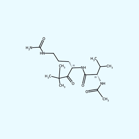 CC(=O)N[C@H](C(=O)N[C@@H](CCCNC(N)=O)C(=O)C(C)(C)C)C(C)C